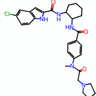 CN(C(=O)CN1CCCC1)c1ccc(C(=O)NC2CCCCC2NC(=O)c2cc3cc(Cl)ccc3[nH]2)cc1